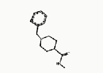 CNC(=O)C1CCN(Cc2ccccc2)CC1